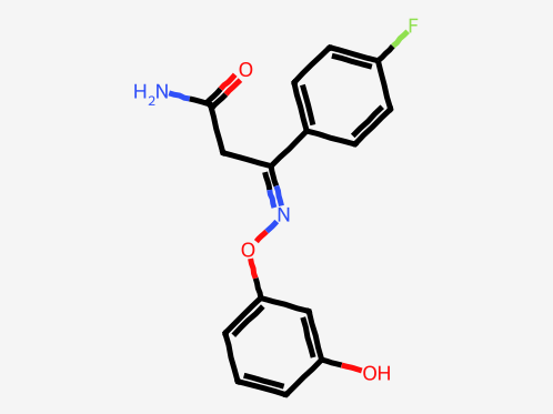 NC(=O)C/C(=N\Oc1cccc(O)c1)c1ccc(F)cc1